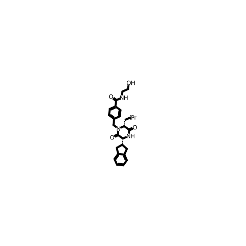 CC(C)C[C@@H]1C(=O)N[C@H](C2Cc3ccccc3C2)C(=O)N1Cc1ccc(C(=O)NCCO)cc1